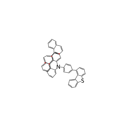 c1ccc(-c2ccccc2N(c2ccc(-c3cccc4sc5ccccc5c34)cc2)c2ccccc2-c2cccc(-c3cccc4ccccc34)c2)cc1